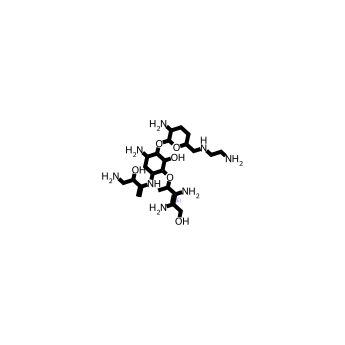 C=C(NC1CC(N)C(OC2OC(CNCCN)CCC2N)C(O)C1OC(C)/C(N)=C(\N)CO)C(O)CN